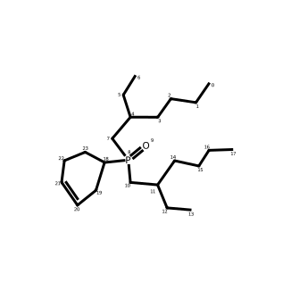 CCCCC(CC)CP(=O)(CC(CC)CCCC)C1CC=CCC1